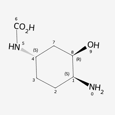 N[C@H]1CC[C@H](NC(=O)O)C[C@H]1O